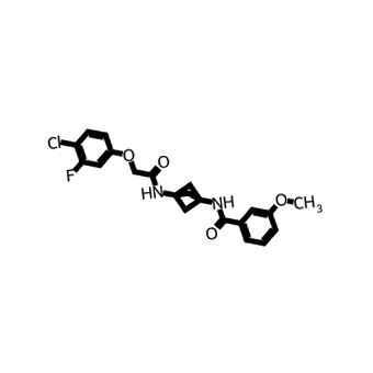 COc1cccc(C(=O)NC23CC(NC(=O)COc4ccc(Cl)c(F)c4)(C2)C3)c1